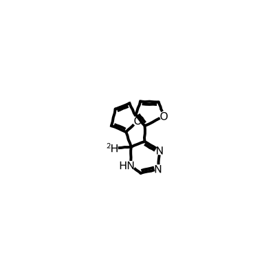 [2H]C1(c2ccco2)NC=NN=C1c1ccco1